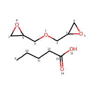 C(OCC1CO1)C1CO1.CCCCC(=O)O